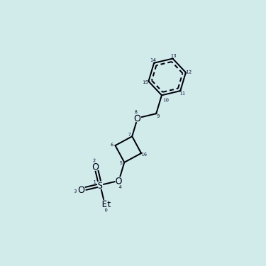 CCS(=O)(=O)OC1CC(OCc2ccccc2)C1